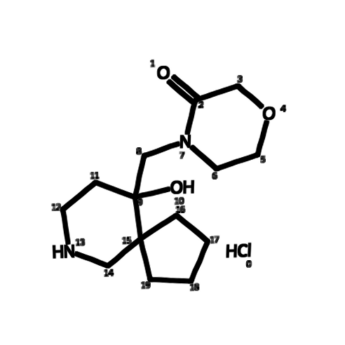 Cl.O=C1COCCN1CC1(O)CCNCC12CCCC2